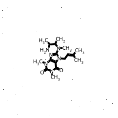 CC(C)=CCn1c(N(C)C(C)C(C)N)nc2c1c(=O)n(C)c(=O)n2C